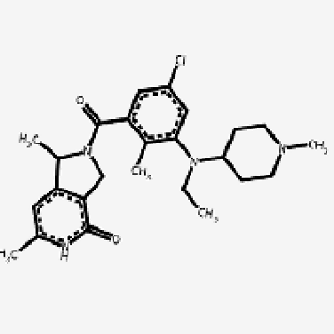 CCN(c1cc(Cl)cc(C(=O)N2Cc3c(cc(C)[nH]c3=O)C2C)c1C)C1CCN(C)CC1